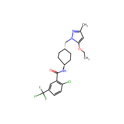 CCOc1cc(C)nn1C[C@H]1CC[C@H](NC(=O)c2cc(C(F)(F)F)ccc2Cl)CC1